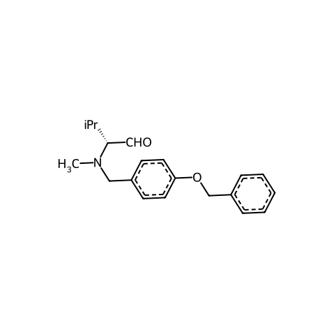 CC(C)[C@H](C=O)N(C)Cc1ccc(OCc2ccccc2)cc1